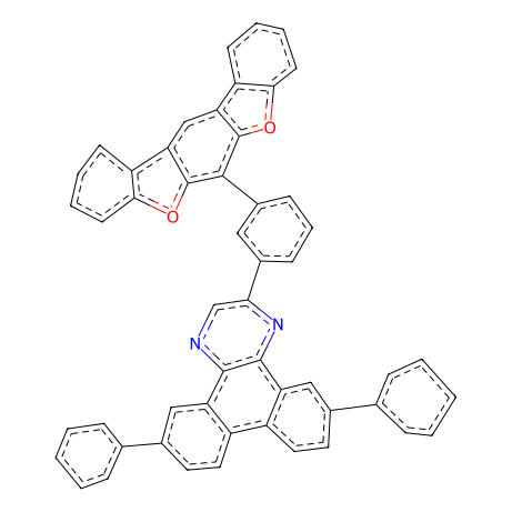 c1ccc(-c2ccc3c4ccc(-c5ccccc5)cc4c4nc(-c5cccc(-c6c7oc8ccccc8c7cc7c6oc6ccccc67)c5)cnc4c3c2)cc1